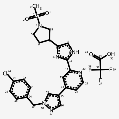 CS(=O)(=O)N1CCC(c2c[nH]c(-c3cc(-c4cnn(Cc5ccc(Cl)cc5)c4)ccn3)n2)C1.O=C(O)C(F)(F)F